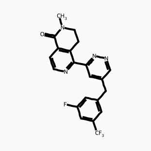 CN1CCc2c(ccnc2-c2cc(Cc3cc(F)cc(C(F)(F)F)c3)cnn2)C1=O